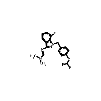 CN(C)C=Nc1nn(Cc2ccc(OC(F)F)cc2)c2c(F)cccc12